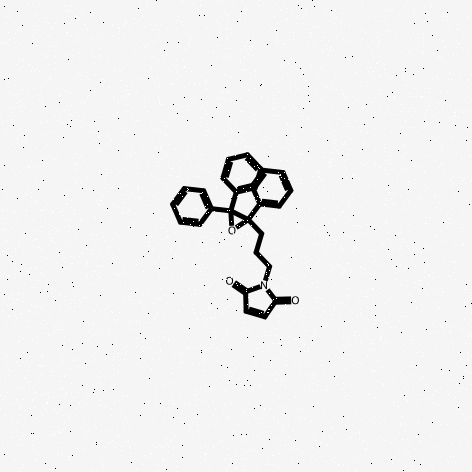 O=C1C=CC(=O)N1CCCC1(c2ccccc2)OC1(c1ccccc1)c1ccccc1